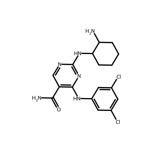 NC(=O)c1cnc(NC2CCCCC2N)nc1Nc1cc(Cl)cc(Cl)c1